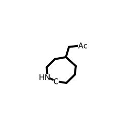 CC(=O)CC1CCCCNCC1